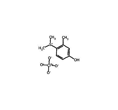 Cc1cc(O)ccc1[S+](C)C.[O-][Cl+3]([O-])([O-])[O-]